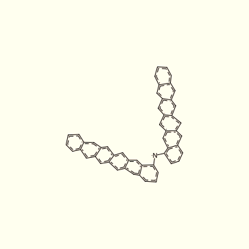 c1ccc2cc3cc4cc5cc6c([N]c7cccc8cc9cc%10cc%11cc%12ccccc%12cc%11cc%10cc9cc78)cccc6cc5cc4cc3cc2c1